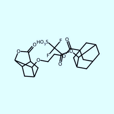 O=C1OC2C3CC(CC13)C2OCCOC(=O)C12CC3CC(C1)C(OC(=O)C(F)(F)S(=O)(=O)O)C(C3)C2